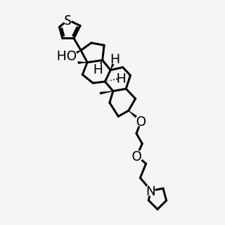 C[C@]12CC[C@H](OCCOCCN3CCCC3)CC1CC[C@@H]1[C@@H]2CC[C@@]2(C)[C@H]1CC[C@@]2(O)c1ccsc1